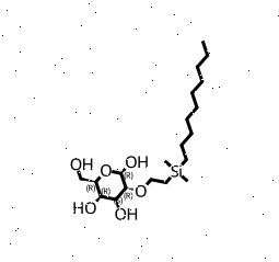 CCCCCCCCCC[Si](C)(C)CCO[C@@H]1[C@@H](O)[C@@H](O)[C@@H](CO)O[C@H]1O